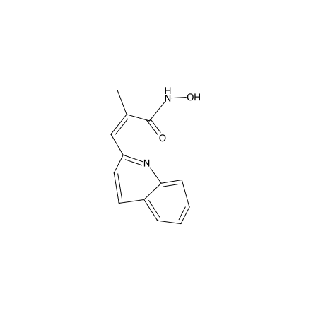 CC(=Cc1ccc2ccccc2n1)C(=O)NO